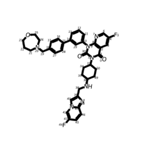 O=c1c2cc(F)cnc2n(-c2cccc(-c3ccc(CN4CCCOCC4)cc3)c2)c(=O)n1C1CCC(NCc2cn3cc(F)ccc3n2)CC1